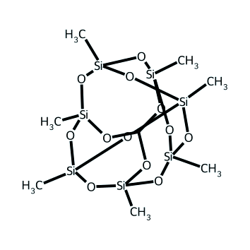 C[Si]12OC3O[Si]4(C)O[Si](C)(O1)O[Si]1(C)O[Si](C)(O2)O[Si](C)(O3)O[Si](C)(O4)O1